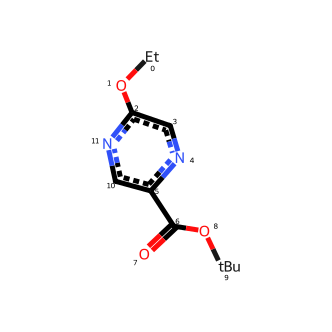 CCOc1cnc(C(=O)OC(C)(C)C)cn1